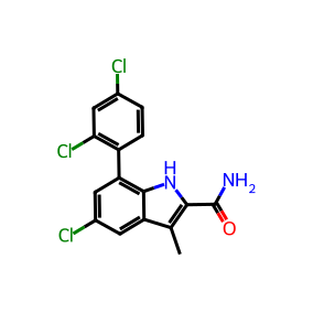 Cc1c(C(N)=O)[nH]c2c(-c3ccc(Cl)cc3Cl)cc(Cl)cc12